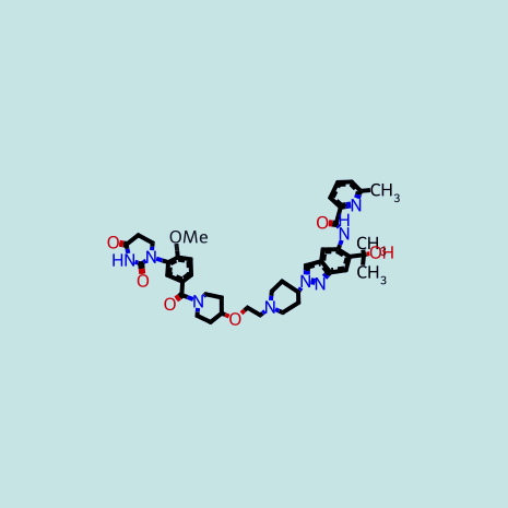 COc1ccc(C(=O)N2CCC(OCCN3CCC(n4cc5cc(NC(=O)c6cccc(C)n6)c(C(C)(C)O)cc5n4)CC3)CC2)cc1N1CCC(=O)NC1=O